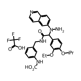 CCOc1cc(C(C(=O)NCc2cccc(NC(=O)O)c2)N(N)c2ccc3cnccc3c2)ccc1OC(C)C.O=C(O)C(F)(F)F